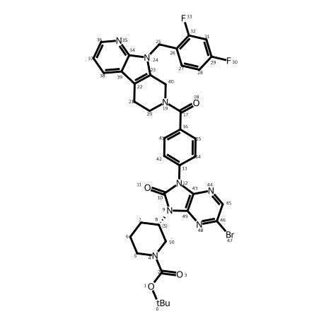 CC(C)(C)OC(=O)N1CCC[C@H](n2c(=O)n(-c3ccc(C(=O)N4CCc5c(n(Cc6ccc(F)cc6F)c6ncccc56)C4)cc3)c3ncc(Br)nc32)C1